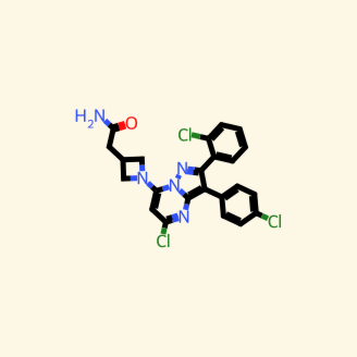 NC(=O)CC1CN(c2cc(Cl)nc3c(-c4ccc(Cl)cc4)c(-c4ccccc4Cl)nn23)C1